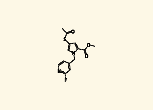 COC(=O)c1cc(SC(C)=O)cn1Cc1ccnc(F)c1